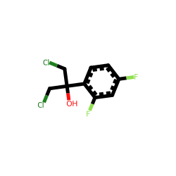 OC(CCl)(CCl)c1ccc(F)cc1F